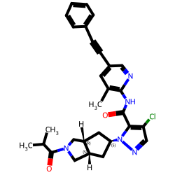 Cc1cc(C#Cc2ccccc2)cnc1NC(=O)c1c(Cl)cnn1[C@H]1C[C@@H]2CN(C(=O)C(C)C)C[C@@H]2C1